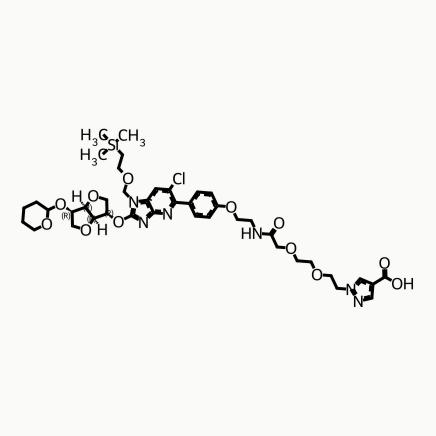 C[Si](C)(C)CCOCn1c(O[C@@H]2CO[C@H]3[C@@H]2OC[C@H]3OC2CCCCO2)nc2nc(-c3ccc(OCCNC(=O)COCCOCCn4cc(C(=O)O)cn4)cc3)c(Cl)cc21